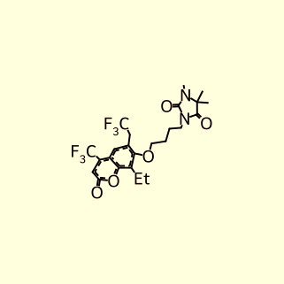 CCc1c(OCCCCN2C(=O)N(C)C(C)(C)C2=O)c(CC(F)(F)F)cc2c(C(F)(F)F)cc(=O)oc12